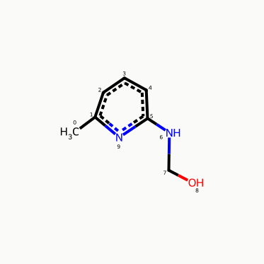 Cc1cccc(NCO)n1